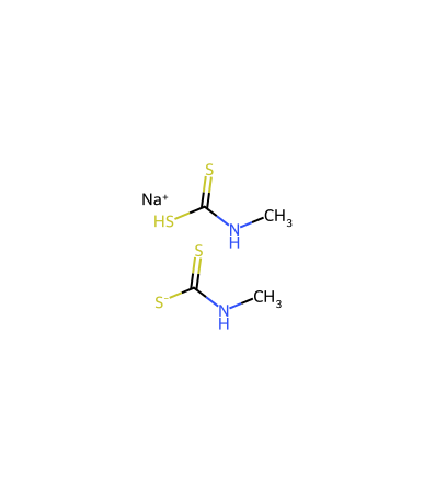 CNC(=S)S.CNC(=S)[S-].[Na+]